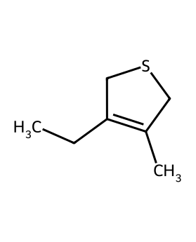 CCC1=C(C)CSC1